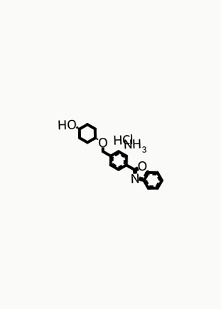 Cl.N.O[C@H]1CC[C@H](OCc2ccc(-c3nc4ccccc4o3)cc2)CC1